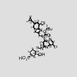 CCc1cnn2c(N(Cc3cn4cc(C5CC5)cc(C(F)(F)F)c4n3)C(=O)OC(C)(C)C)cc(NC[C@H]3CCN(C(=O)O)C[C@@H]3O)nc12